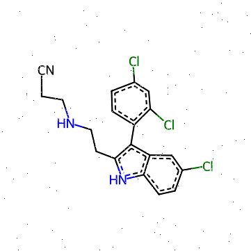 N#CCCNCCc1[nH]c2ccc(Cl)cc2c1-c1ccc(Cl)cc1Cl